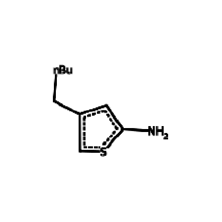 CCCCCc1csc(N)c1